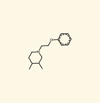 CC1CCN(CCOc2ccccc2)CC1C